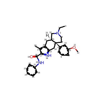 CCN1CC[C@]2(c3cccc(OC)c3)Cc3[nH]c(C(=O)Nc4ccccc4)c(C)c3C[C@H]2C1